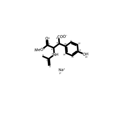 C=C(C)NC(C(=O)OC)C(C(=O)[O-])c1ccc(O)cc1.[Na+]